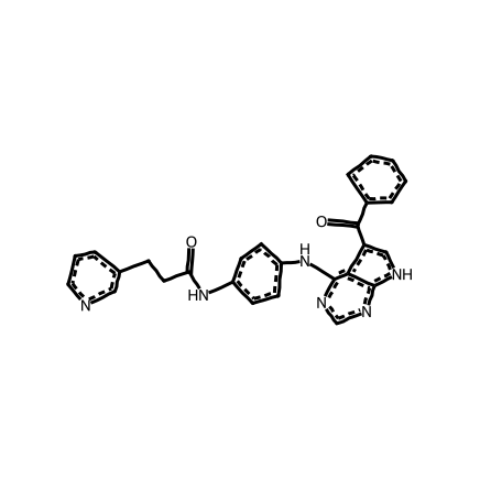 O=C(CCc1cccnc1)Nc1ccc(Nc2ncnc3[nH]cc(C(=O)c4ccccc4)c23)cc1